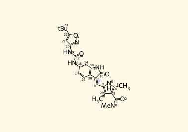 CNC(=O)c1c(C)[nH]c(/C=C2\C(=O)Nc3cc(NC(=O)Nc4cc(C(C)(C)C)on4)ccc32)c1C